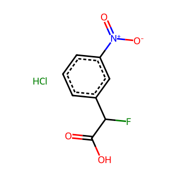 Cl.O=C(O)C(F)c1cccc([N+](=O)[O-])c1